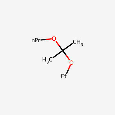 CCCOC(C)(C)OCC